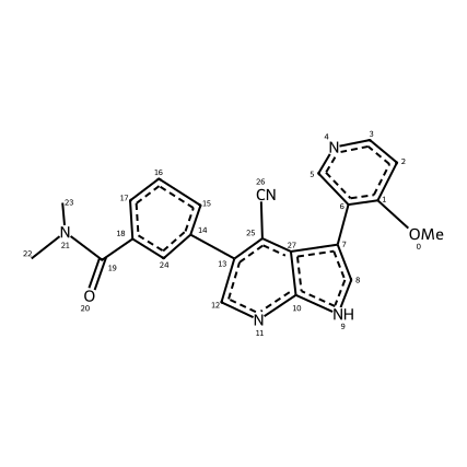 COc1ccncc1-c1c[nH]c2ncc(-c3cccc(C(=O)N(C)C)c3)c(C#N)c12